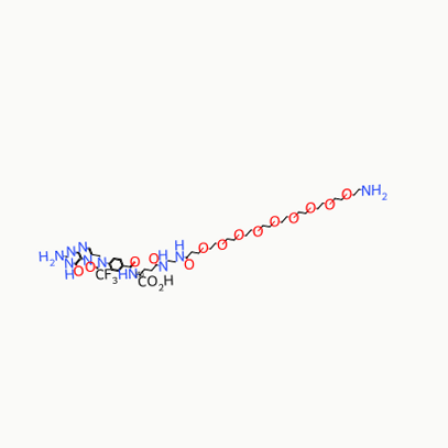 NCCOCCOCCOCCOCCOCCOCCOCCOCCOCCC(=O)NCCNC(=O)CC[C@H](NC(=O)c1ccc(N(Cc2cnc3nc(N)[nH]c(=O)c3n2)C(=O)C(F)(F)F)cc1)C(=O)O